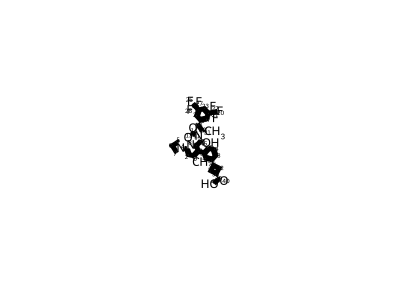 Cc1cc(N2CCC2)nc(CN2C(=O)O[C@H](c3cc(C(F)(F)F)cc(C(F)(F)F)c3)[C@@H]2C)c1-c1cc([C@H]2C[C@@H](C(=O)O)C2)ccc1O